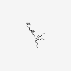 CCCO[Si](CCC)(CCCNCCCN)OCCC